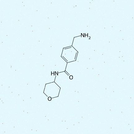 NCc1ccc(C(=O)NC2CCOCC2)cc1